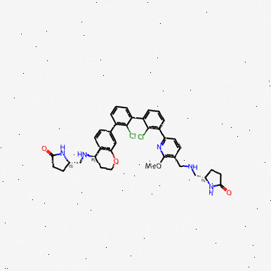 COc1nc(-c2cccc(-c3cccc(-c4ccc5c(c4)OCC[C@H]5NC[C@@H]4CCC(=O)N4)c3Cl)c2Cl)ccc1CNC[C@@H]1CCC(=O)N1